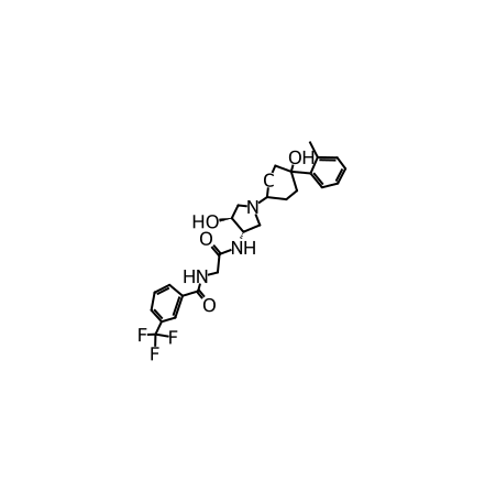 Cc1ccccc1C1(O)CCC(N2C[C@H](NC(=O)CNC(=O)c3cccc(C(F)(F)F)c3)[C@@H](O)C2)CC1